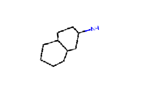 [NH]C1CCC2CCCCC2C1